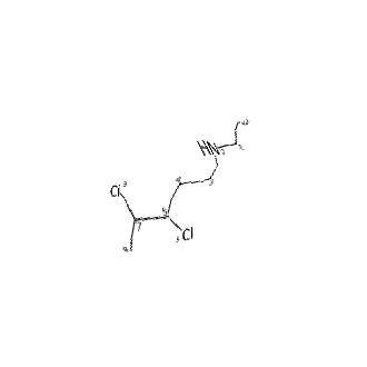 CCNCCC(Cl)C(C)Cl